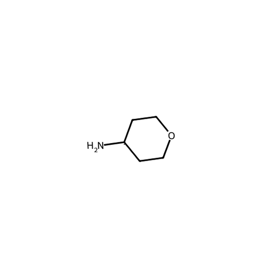 N[C]1CCOCC1